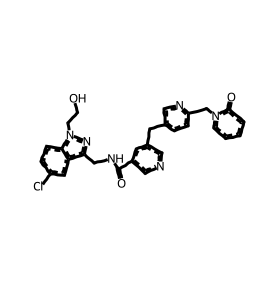 O=C(NCc1nn(CCO)c2ccc(Cl)cc12)c1cncc(Cc2ccc(Cn3ccccc3=O)nc2)c1